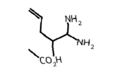 C=CCC(C)C(N)N.CC(=O)O